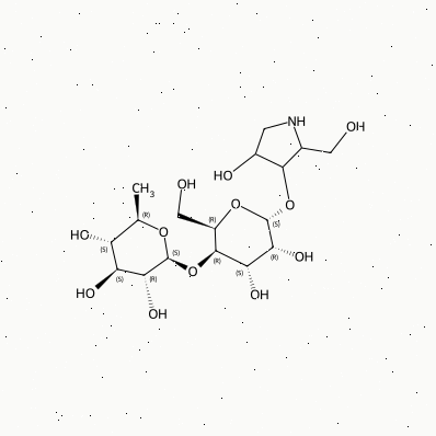 C[C@H]1O[C@@H](O[C@@H]2[C@@H](O)[C@@H](O)[C@@H](OC3C(O)CNC3CO)O[C@@H]2CO)[C@H](O)[C@@H](O)[C@@H]1O